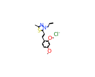 C=CC[n+]1nc(C)sc1C=Cc1ccc(OC)cc1OC.[Cl-]